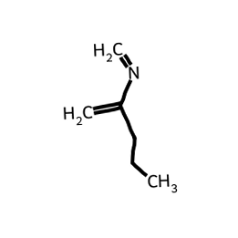 C=NC(=C)CCC